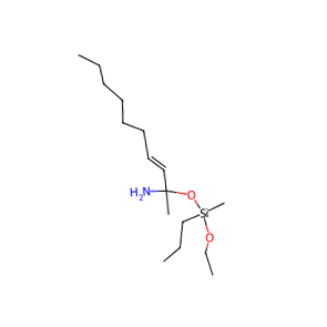 CCCCCCC=CC(C)(N)O[Si](C)(CCC)OCC